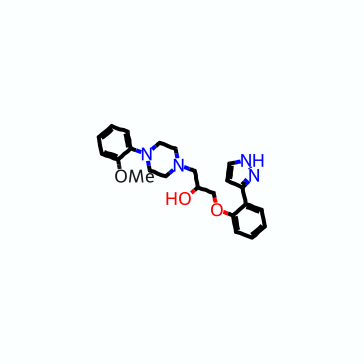 COc1ccccc1N1CCN(CC(O)COc2ccccc2-c2cc[nH]n2)CC1